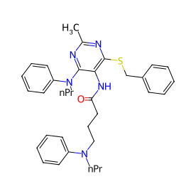 CCCN(CCCC(=O)Nc1c(SCc2ccccc2)nc(C)nc1N(CCC)c1ccccc1)c1ccccc1